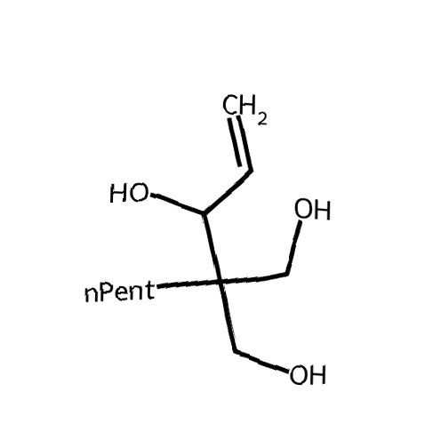 C=CC(O)C(CO)(CO)CCCCC